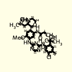 C=CC(=O)Nc1cc(Nc2ncnc(Nc3cc(Cl)c(F)cc3C(C)(C)O)n2)c(OC)cc1[C@@H]1OCCNC1CN(C)C